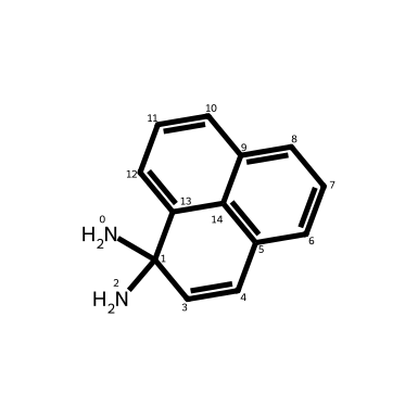 NC1(N)C=Cc2cccc3cccc1c23